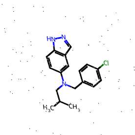 CC(C)CN(Cc1ccc(Cl)cc1)c1ccc2[nH]ncc2c1